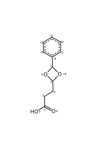 O=C(O)CCC1OC(c2ccccc2)O1